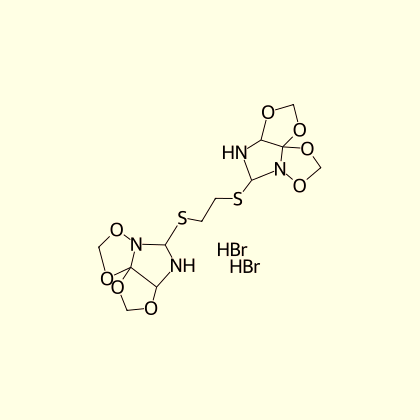 Br.Br.C1OC2NC(SCCSC3NC4OCOC45OCON35)N3OCOC23O1